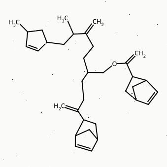 C=C(CCC(CCC(=C)C1CC2C=CC1C2)COC(=C)C1CC2C=CC1C2)C(C)CC1C=CC(C)C1